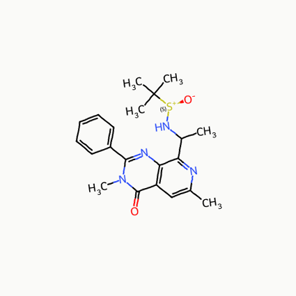 Cc1cc2c(=O)n(C)c(-c3ccccc3)nc2c(C(C)N[S@+]([O-])C(C)(C)C)n1